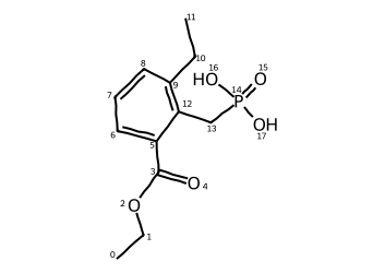 CCOC(=O)c1cccc(CC)c1CP(=O)(O)O